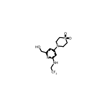 O=S1(=O)CCN(c2cc(CO)nc(NCC(F)(F)F)c2)CC1